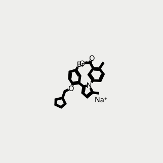 Cc1ccc(-n2c(C)ccc2-c2cc(Br)ccc2OCC2CCCC2)cc1C(=O)[O-].[Na+]